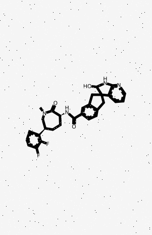 CN1C[C@H](c2cccc(F)c2F)CC[C@@H](NC(=O)c2ccc3c(c2)CC2(C3)c3cccnc3NC2O)C1=O